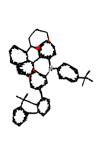 CC(C)(C)c1ccc(N(c2cccc(-c3cccc4c3C(C)(C)c3ccccc3-4)c2)c2ccccc2-c2cccc3cccc(C4CCCCC4)c23)cc1